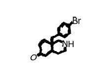 O=C1C=C2CCNCC2(Cc2ccc(Br)cc2)CC1